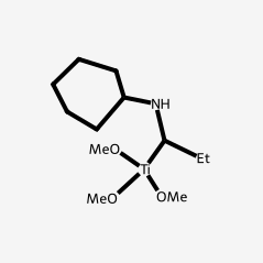 CC[CH](NC1CCCCC1)[Ti]([O]C)([O]C)[O]C